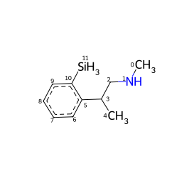 CNCC(C)c1ccccc1[SiH3]